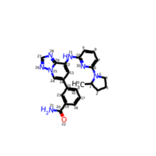 CC1CCCN1c1cccc(Nc2cc(-c3cccc(C(N)=O)c3)cn3ncnc23)n1